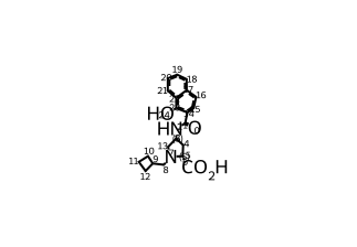 O=C(N[C@H]1C[C@@H](C(=O)O)N(CC2CCC2)C1)c1ccc2ccccc2c1O